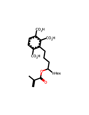 C=C(C)C(=O)OC(CCCCCC)CCCc1c(C(=O)O)ccc(C(=O)O)c1C(=O)O